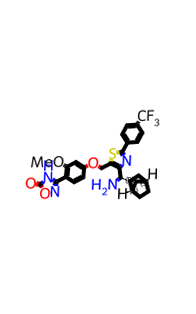 COc1cc(OCc2sc(-c3ccc(C(F)(F)F)cc3)nc2C(N)[C@@H]2C[C@H]3CC[C@@H]2C3)ccc1-c1noc(=O)[nH]1